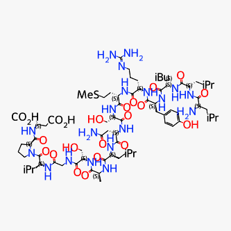 CC[C@H](C)[C@H](NC(=O)[C@H](CC(C)C)NC(=O)[C@@H](N)CC(C)C)C(=O)N[C@@H](Cc1ccc(O)cc1)C(=O)N[C@@H](CCCN=C(N)N)C(=O)N[C@@H](CCSC)C(=O)N[C@@H](CO)C(=O)N[C@@H](CC(N)=O)C(=O)N[C@@H](CC(C)C)C(=O)N[C@@H](C)C(=O)N[C@@H](CO)C(=O)NCC(=O)N[C@H](C(=O)N1CCC[C@H]1C(=O)N[C@@H](CC(=O)O)C(=O)O)C(C)C